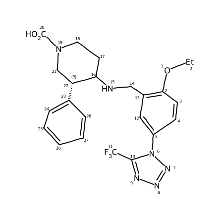 CCOc1ccc(-n2nnnc2C(F)(F)F)cc1CNC1CCN(C(=O)O)C[C@H]1c1ccccc1